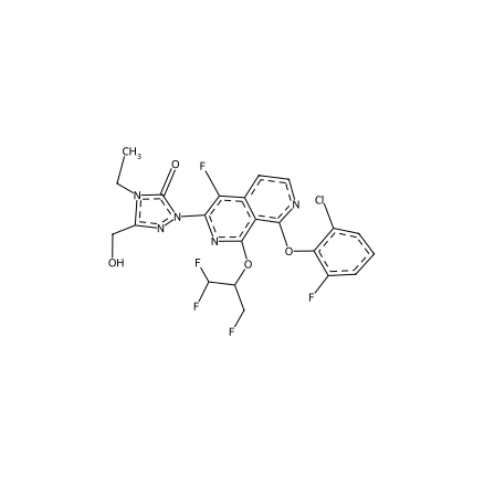 CCn1c(CO)nn(-c2nc(OC(CF)C(F)F)c3c(Oc4c(F)cccc4Cl)nccc3c2F)c1=O